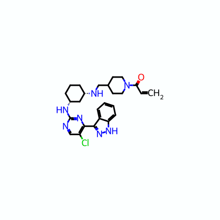 C=CC(=O)N1CCC(CN[C@H]2CCC[C@@H](Nc3ncc(Cl)c(-c4n[nH]c5ccccc45)n3)C2)CC1